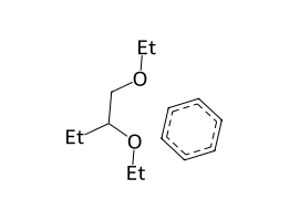 CCOCC(CC)OCC.c1ccccc1